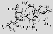 CC(C)C[C@H](NC(=O)[C@H](CC(C)C)NC(=O)[C@H](CC(C)C)NC(=O)[C@H](CCC(=O)O)NC(=O)[C@@H](N)CC(C)C)C(=O)O